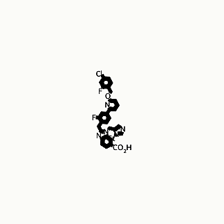 CCn1cncc1Cn1c(Cc2ccc(-c3cccc(OCc4ccc(Cl)cc4F)n3)cc2F)nc2ccc(C(=O)O)cc21